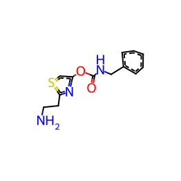 NCCc1nc(OC(=O)NCc2ccccc2)cs1